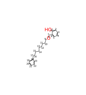 Oc1ccccc1COCCCCCCCCCc1ccccc1